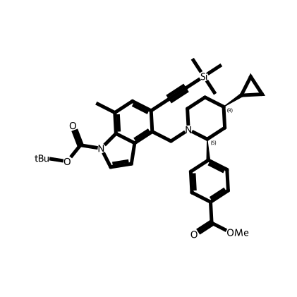 COC(=O)c1ccc([C@@H]2C[C@H](C3CC3)CCN2Cc2c(C#C[Si](C)(C)C)cc(C)c3c2ccn3C(=O)OC(C)(C)C)cc1